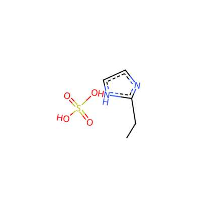 CCc1ncc[nH]1.O=S(=O)(O)O